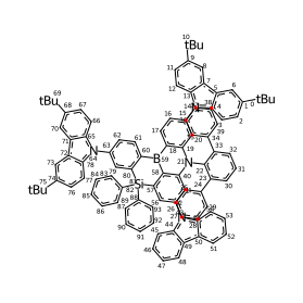 CC(C)(C)c1ccc2c(c1)c1cc(C(C)(C)C)ccc1n2-c1ccc2c(c1)N(c1c(-c3ccccc3)cccc1-c1ccccc1)c1cc(-n3c4ccccc4c4ccccc43)cc3c1B2c1ccc(-n2c4ccc(C(C)(C)C)cc4c4cc(C(C)(C)C)ccc42)cc1[Si]3(c1ccccc1)c1ccccc1